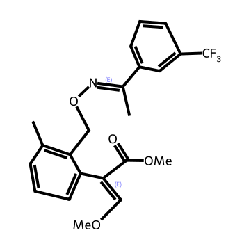 CO/C=C(/C(=O)OC)c1cccc(C)c1CO/N=C(\C)c1cccc(C(F)(F)F)c1